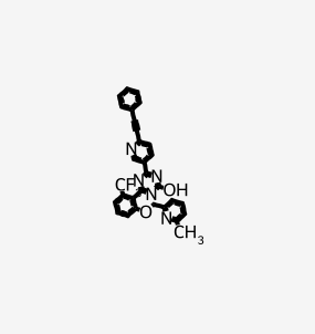 Cc1cccc(COc2cccc(C(F)(F)F)c2-c2nc(O)nc(-c3ccc(C#Cc4ccccc4)nc3)n2)n1